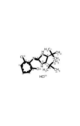 CC(C)(C)[C@@H]1NC(=Nc2c(Cl)cccc2Cl)N[C@H]1C(C)(C)C.Cl